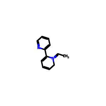 CC=[N+]1CC=CC=C1c1ccccn1